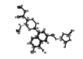 CN1C[C@H](F)C[C@H]1COc1nc(N2CCN(C(=O)OC(C)(C)C)[C@@H](CC#N)C2)c2cnc(Cl)c(F)c2n1